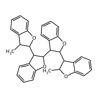 CC1Oc2ccccc2C1C1Oc2ccccc2C1C1Oc2ccccc2C1C1Oc2ccccc2C1C